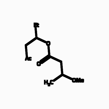 CCC(CC(C)=O)OC(=O)CC(C)OC